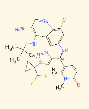 Cc1c([C@H](Nc2cc(Cl)c3ncc(C#N)c(NCC(C)(C)C)c3c2)c2cn(C3(C(F)F)CC3)nn2)ccc(=O)n1C